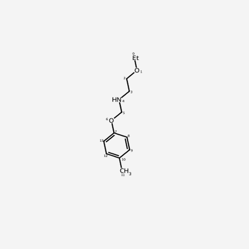 CCOCCNCOc1ccc(C)cc1